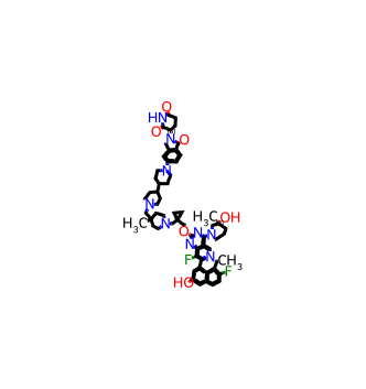 CCc1c(F)ccc2cc(O)cc(-c3ncc4c(N5CCC[C@@](C)(O)C5)nc(OCC5(CN6CCC(C)(CN7CCC(C8CCN(c9ccc%10c(c9)CN([C@H]9CCC(=O)NC9=O)C%10=O)CC8)CC7)CC6)CC5)nc4c3F)c12